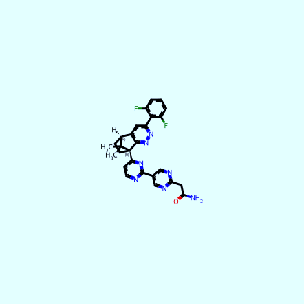 CC1(C)[C@H]2CC[C@@]1(c1ccnc(-c3cnc(CC(N)=O)nc3)n1)c1nnc(-c3c(F)cccc3F)cc12